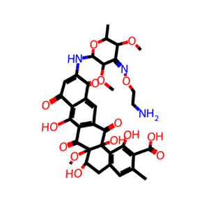 COC1C(=NOCCN)C(OC)C(NC2=CC(=O)c3c(cc4c(c3O)C(=O)C3(OC)C(O)Cc5cc(C)c(C(=O)O)c(O)c5C3(O)C4=O)C2=O)OC1C